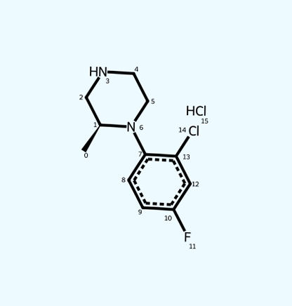 C[C@H]1CNCCN1c1ccc(F)cc1Cl.Cl